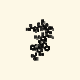 C[C@H](NC(=O)[C@H](C)NC(=O)[C@H](C)NC(=O)[C@@H](N)CCC(=O)O)C(=O)N[C@@H](C)C(=O)N[C@@H](Cc1ccccc1)C(=O)N[C@@H](Cc1ccccc1)C(=O)N[C@@H](CCC(=O)O)C(=O)O